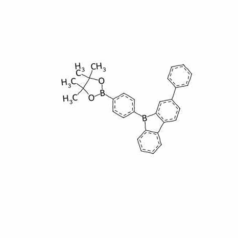 CC1(C)OB(c2ccc(B3c4ccccc4-c4ccc(-c5ccccc5)cc43)cc2)OC1(C)C